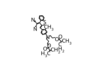 C=C(C)C(=O)OCCCN(CCCOC(=O)C(=C)C)c1ccc(/C=C2\CSc3ccccc3C2=C(C#N)C#N)c(C)c1